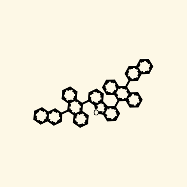 c1ccc2cc(-c3c4ccccc4c(-c4cccc5c4oc4cccc(-c6c7ccccc7c(-c7ccc8ccccc8c7)c7ccccc67)c45)c4ccccc34)ccc2c1